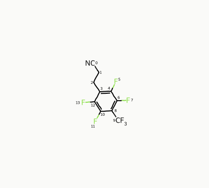 N#CCCc1c(F)c(F)c(C(F)(F)F)c(F)c1F